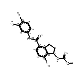 COC(=O)OC1CCc2c(C(=O)Nc3ccc(F)c(Cl)c3)ccc(F)c21